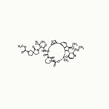 CCn1c(-c2cccnc2[C@H](C)OC)c2c3cc(ccc31)-c1csc(n1)C[C@H](NC(=O)[C@H](C(C)C)N1CCC3(CCN(C(=O)OC)C3)C1=O)C(=O)N1CCC[C@H](N1)C(=O)OCC(C)(C)C2